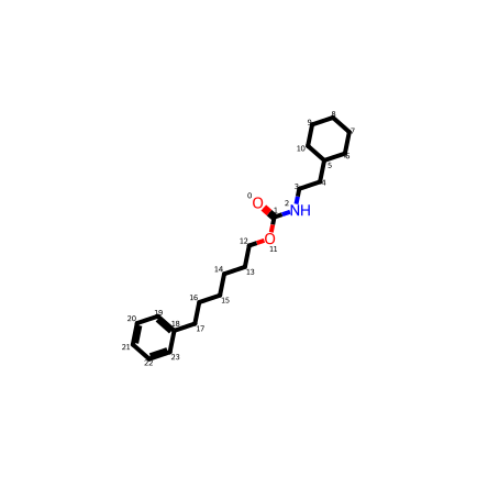 O=C(NCCC1[CH]CCCC1)OCCCCCCc1ccccc1